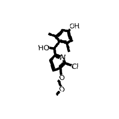 COCOc1ccc(C(O)c2c(C)cc(O)cc2C)nc1Cl